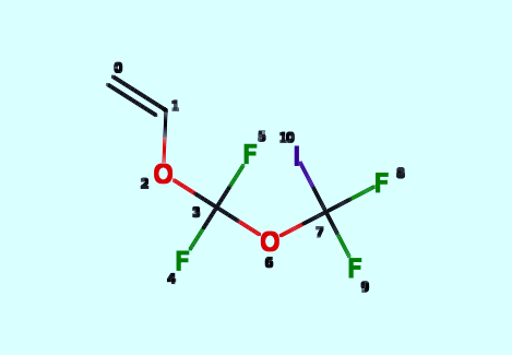 C=COC(F)(F)OC(F)(F)I